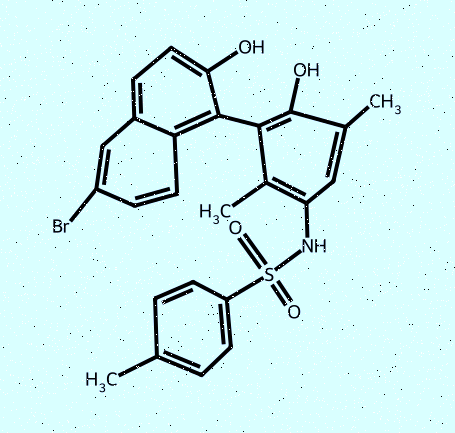 Cc1ccc(S(=O)(=O)Nc2cc(C)c(O)c(-c3c(O)ccc4cc(Br)ccc34)c2C)cc1